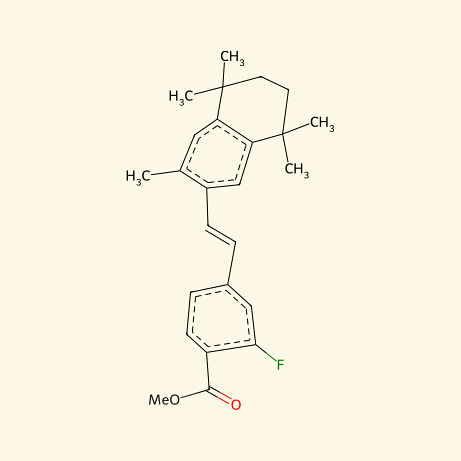 COC(=O)c1ccc(/C=C/c2cc3c(cc2C)C(C)(C)CCC3(C)C)cc1F